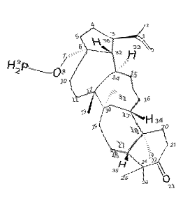 C=C(C)[C@@H]1CC[C@]2(COP)CC[C@]3(C)[C@H](CC[C@@H]4[C@@]5(C)CCC(=O)C(C)(C)[C@@H]5CC[C@]43C)[C@@H]12